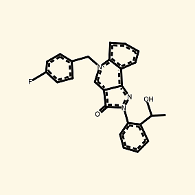 CC(O)c1ccccc1-n1nc2c3ccccc3n(Cc3ccc(F)cc3)cc-2c1=O